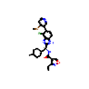 CCc1nocc1C(=O)N[C@H](c1nc2c(F)c(-c3cnccc3SC)ccc2[nH]1)C1CCC(C)CC1